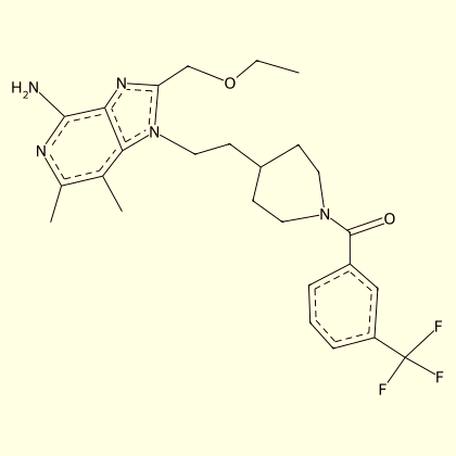 CCOCc1nc2c(N)nc(C)c(C)c2n1CCC1CCN(C(=O)c2cccc(C(F)(F)F)c2)CC1